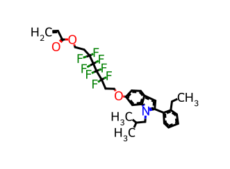 C=CC(=O)OCCC(F)(F)C(F)(F)C(F)(F)C(F)(F)CCOc1ccc2cc(-c3ccccc3CC)n(CC(C)C)c2c1